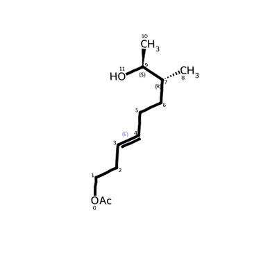 CC(=O)OCC/C=C/CC[C@@H](C)[C@H](C)O